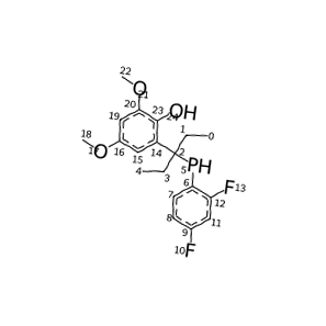 CCC(CC)(Pc1ccc(F)cc1F)c1cc(OC)cc(OC)c1O